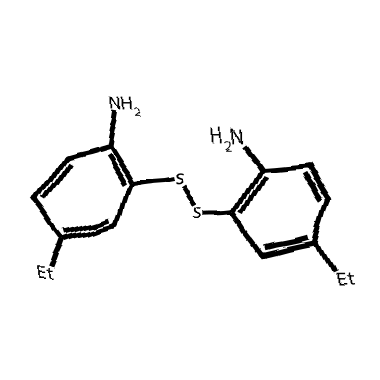 CCc1ccc(N)c(SSc2cc(CC)ccc2N)c1